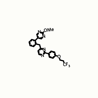 COc1ncc(-c2ccccc2Cc2ccnc(-c3ccc(OCCC(F)(F)F)cc3)n2)cn1